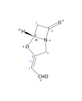 O=C/C=C1\CN2C(=O)C[C@H]2O1